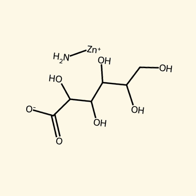 O=C([O-])C(O)C(O)C(O)C(O)CO.[NH2][Zn+]